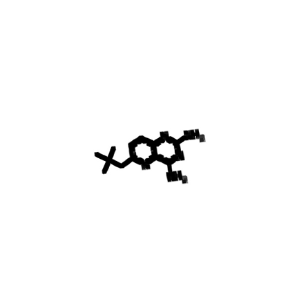 CC(C)(C)Cc1ccc2nc(N)nc(N)c2n1